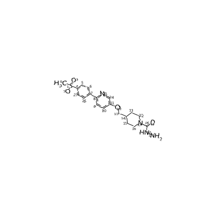 CS(=O)(=O)c1ccc(-c2ccc(OCC3CCN(C(=O)NN)CC3)cn2)cc1